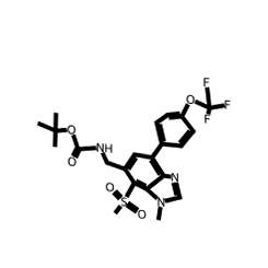 Cn1cnc2c(-c3ccc(OC(F)(F)F)cc3)cc(CNC(=O)OC(C)(C)C)c(S(C)(=O)=O)c21